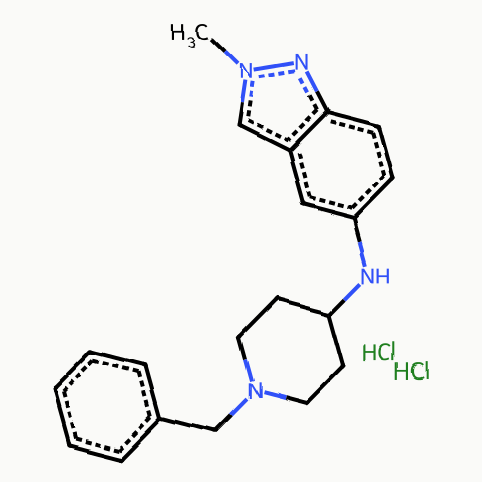 Cl.Cl.Cn1cc2cc(NC3CCN(Cc4ccccc4)CC3)ccc2n1